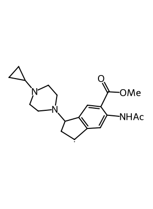 COC(=O)c1cc2c(cc1NC(C)=O)[CH]CC2N1CCN(C2CC2)CC1